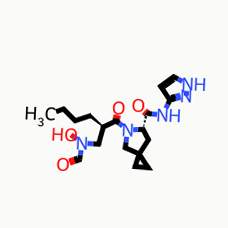 CCCC[C@H](CN(O)C=O)C(=O)N1CC2(CC2)C[C@H]1C(=O)Nc1cc[nH]n1